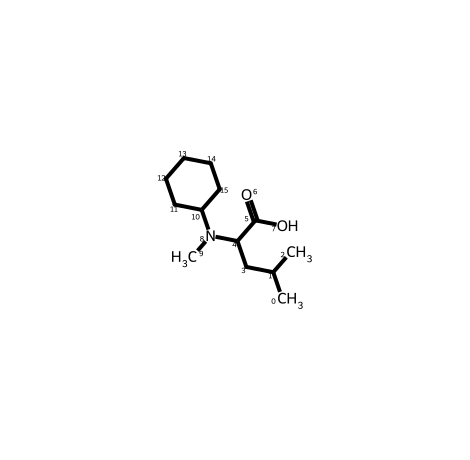 CC(C)CC(C(=O)O)N(C)C1CCCCC1